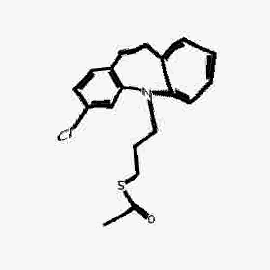 CC(=O)SCCCN1c2ccccc2CCc2ccc(Cl)cc21